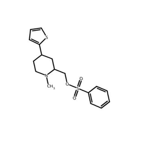 CN1CCC(c2cccs2)CC1COS(=O)(=O)c1ccccc1